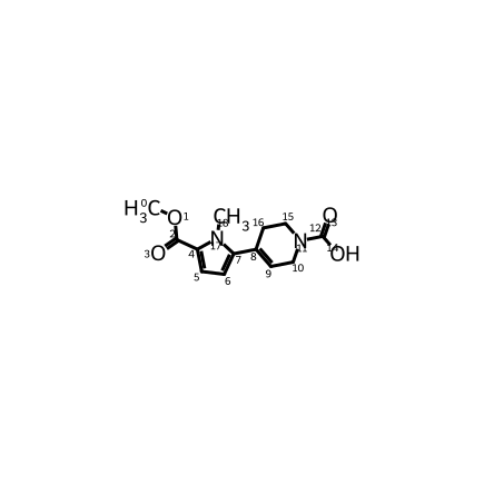 COC(=O)c1ccc(C2=CCN(C(=O)O)CC2)n1C